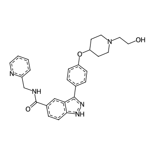 O=C(NCc1ccccn1)c1ccc2[nH]nc(-c3ccc(OC4CCN(CCO)CC4)cc3)c2c1